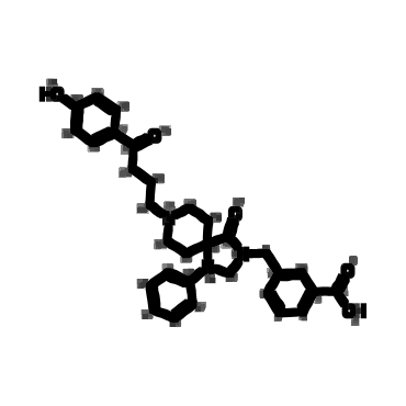 O=C(O)c1cccc(CN2CN(c3ccccc3)C3(CCN(CCCC(=O)c4ccc(O)cc4)CC3)C2=O)c1